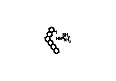 Ic1cccc2cc3ccc4cc5cc6ccccc6cc5cc4c3cc12.N=C(N)N